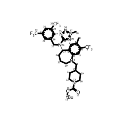 Cc1cc2c(cc1C(F)(F)F)N(CC1CCN(C(=O)OC(C)(C)C)CC1)CCC[C@@H]2N(Cc1cc(C(F)(F)F)cc(C(F)(F)F)c1)c1nnn(C)n1